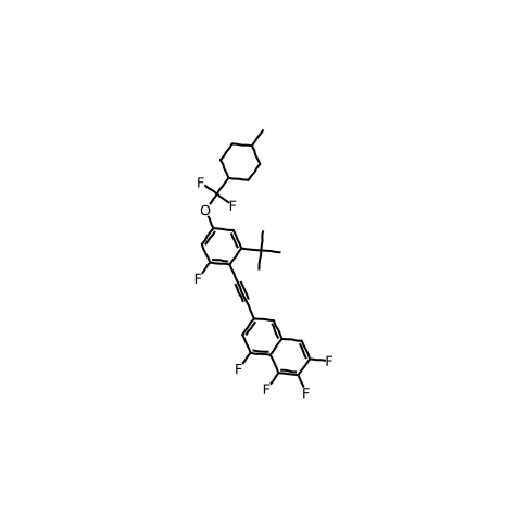 CC1CCC(C(F)(F)Oc2cc(F)c(C#Cc3cc(F)c4c(F)c(F)c(F)cc4c3)c(C(C)(C)C)c2)CC1